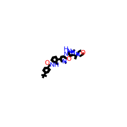 C=C(c1cc(Nc2cc(-c3cccc(NC(=O)c4ccc(C(C)(C)C)cc4)c3C)cn(C)c2=O)nn1C)N1CCOCC1